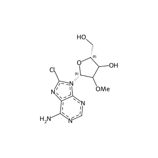 COC1C(O)[C@@H](CO)O[C@H]1n1c(Cl)nc2c(N)ncnc21